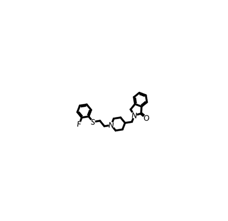 O=C1c2ccccc2CN1CC1CCN(CCSc2ccccc2F)CC1